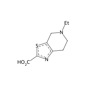 CCN1CCc2nc(C(=O)O)sc2C1